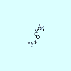 C[C@H]1[C@H]2C[C@H](Oc3ccc4cc(CN5CC(C(=O)O)C5)ccc4c3)C[C@@H]12